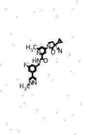 Cc1cc(N2CC[C@@](C#N)(C3CC3)C2=O)cc(C(=O)NCc2cc(F)cc(-c3cnn(C)c3)c2)n1